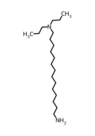 CCCN(CCC)CCCCCCCCCCCCCCN